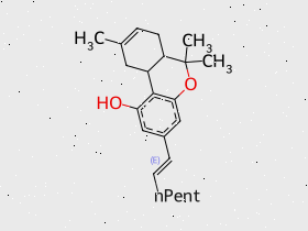 CCCCC/C=C/c1cc(O)c2c(c1)OC(C)(C)C1CC=C(C)CC21